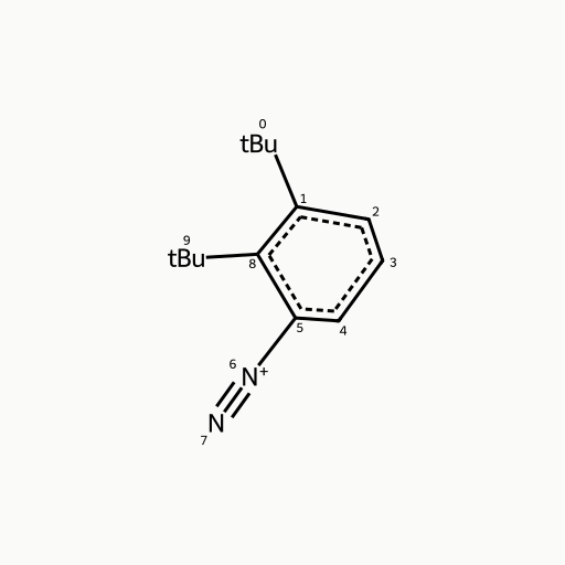 CC(C)(C)c1cccc([N+]#N)c1C(C)(C)C